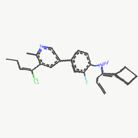 C=CC(Nc1ccc(-c2cnc(C)c(/C(Cl)=C\CC)c2)cc1F)=C1CCC1